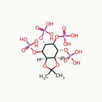 CC(C)[C@]12OC(C)(C)O[C@H]1[C@@H](OP(=O)(O)O)[C@H](OP(=O)(O)O)[C@@H](OP(=O)(O)O)[C@@H]2OP(=O)(O)O